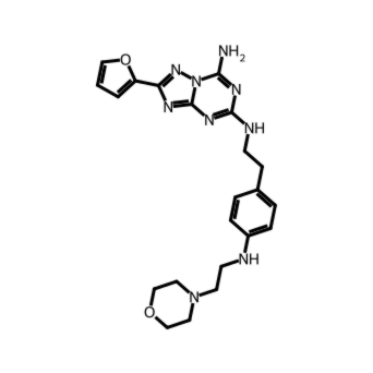 Nc1nc(NCCc2ccc(NCCN3CCOCC3)cc2)nc2nc(-c3ccco3)nn12